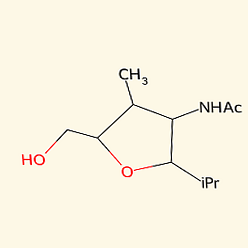 CC(=O)NC1C(C)C(CO)OC1C(C)C